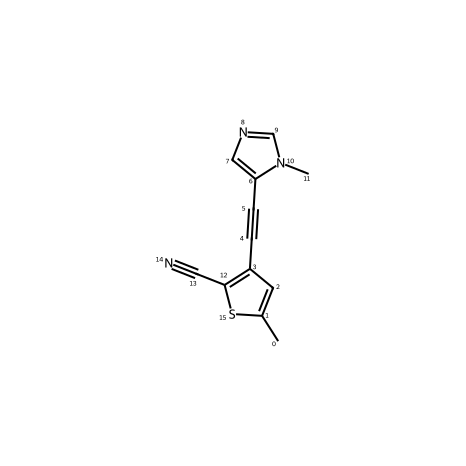 Cc1cc(C#Cc2cncn2C)c(C#N)s1